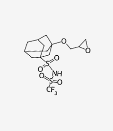 O=S(=O)(NS(=O)(=O)C12CC3CC(CC(OCC4CO4)(C3)C1)C2)C(F)(F)F